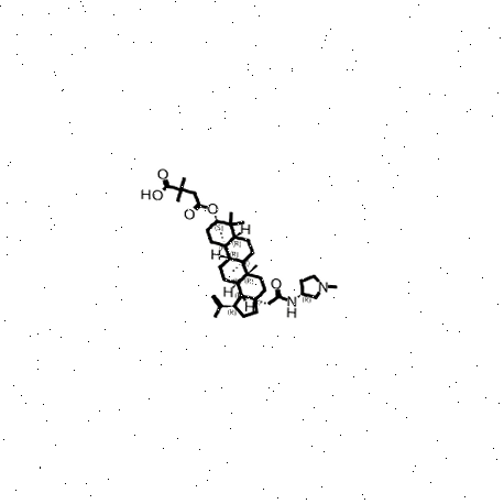 C=C(C)[C@@H]1CC[C@]2(CC(=O)N[C@@H]3CCN(C)C3)CC[C@]3(C)[C@H](CC[C@@H]4[C@@]5(C)CC[C@H](OC(=O)CC(C)(C)C(=O)O)C(C)(C)[C@@H]5CC[C@]43C)[C@@H]12